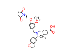 COc1cc(CN(C[C@@H]2CC[C@@H](C(=O)O)C2)[C@H](C)c2ccc3c(c2)CCO3)ccc1OCCN1C(=O)CCC1=O